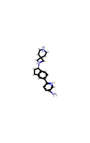 Nc1ccc(-c2ccc3c(c2)CC[C@H]3N2CC3(CCNCC3)C2)nc1